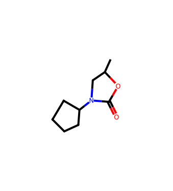 CC1CN(C2CCCC2)C(=O)O1